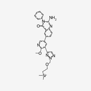 COc1ncc(-c2ccc3nc(N)n(-c4ccccc4)c(=O)c3c2)cc1-c1cnn(COCC[Si](C)(C)C)n1